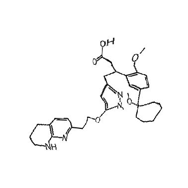 COc1ccc(C2(OC)CCCCC2)cc1C(CC(=O)O)Cc1cc(OCCc2ccc3c(n2)NCCC3)n(C)n1